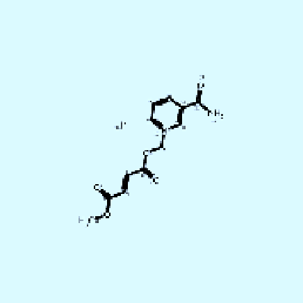 COC(=O)/C=C/C(=O)OC[n+]1cccc(C(N)=O)c1.[I-]